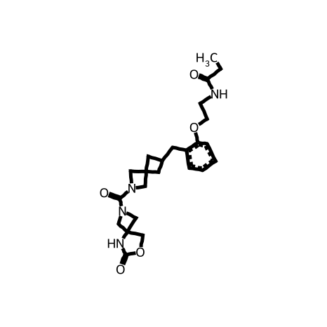 CCC(=O)NCCOc1ccccc1CC1CC2(C1)CN(C(=O)N1CC3(COC(=O)N3)C1)C2